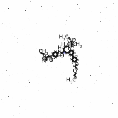 CCCCOCCOc1ccc(-c2ccc3c(c2)/C=C(/C(=O)Nc2ccc([S@@+]([O-])Cc4cncn4CCC)cc2)CCCN3CC(C)(C)C(=O)OCC)cc1